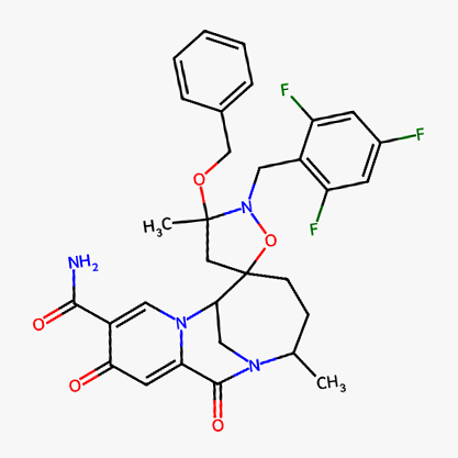 CC1CCC2(CC(C)(OCc3ccccc3)N(Cc3c(F)cc(F)cc3F)O2)C2CN1C(=O)c1cc(=O)c(C(N)=O)cn12